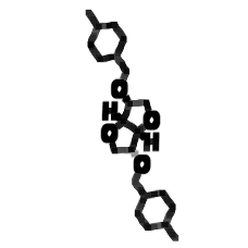 CC1CCC(CO[C@H]2CO[C@H]3[C@@H]2OC[C@H]3OCC2CCC(C)CC2)CC1